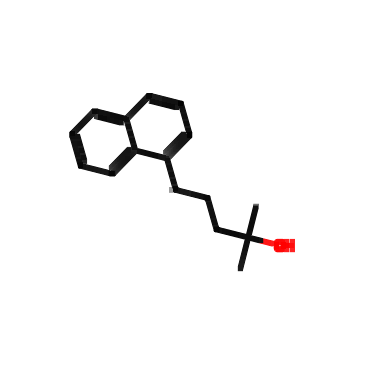 CC(C)(O)CC[CH]c1cccc2ccccc12